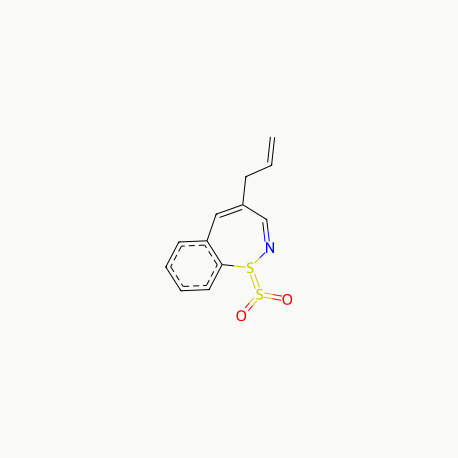 C=CCC1=Cc2ccccc2S(=S(=O)=O)N=C1